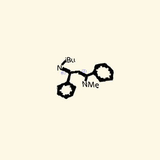 CCC(C)/N=C(\C=C(/NC)c1ccccc1)c1ccccc1